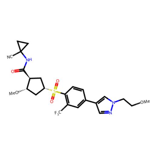 COCCn1cc(-c2ccc(S(=O)(=O)[C@@H]3C[C@H](OC)[C@@H](C(=O)NC4(C#N)CC4)C3)c(C(F)(F)F)c2)cn1